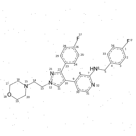 Fc1ccc(CNc2cc(-c3cn(CCN4CCOCC4)nc3-c3ccc(F)cc3)ccn2)cc1